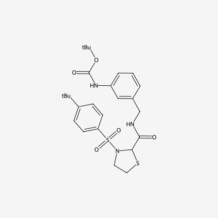 CC(C)(C)OC(=O)Nc1cccc(CNC(=O)C2SCCN2S(=O)(=O)c2ccc(C(C)(C)C)cc2)c1